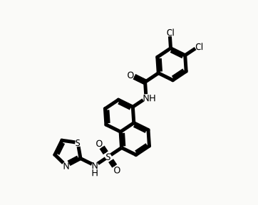 O=C(Nc1cccc2c(S(=O)(=O)Nc3nccs3)cccc12)c1ccc(Cl)c(Cl)c1